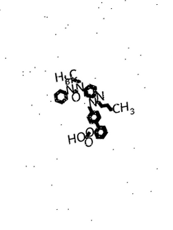 CCCCc1nc2ccc(N(CCC)C(=O)NC3CCCCC3)cc2n1Cc1ccc(-c2ccccc2OC(=O)O)cc1